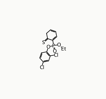 CCOP(=O)(Oc1ccc(Cl)cc1Cl)C1=CC=CCC1=S